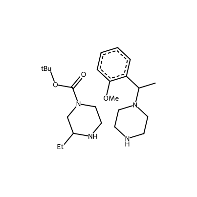 CCC1CN(C(=O)OC(C)(C)C)CCN1.COc1ccccc1C(C)N1CCNCC1